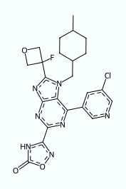 CC1CCC(Cn2c(C3(F)COC3)nc3nc(-c4noc(=O)[nH]4)nc(-c4cncc(Cl)c4)c32)CC1